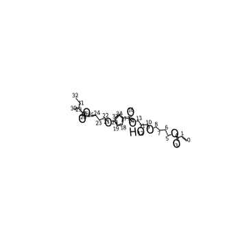 C=CC(=O)OCCCCOCC(O)COC(=O)c1ccc(OCCCCOC(=O)C(C)CC)cc1